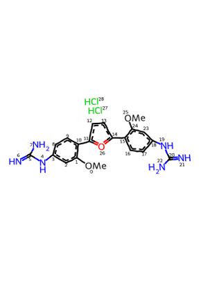 COc1cc(NC(=N)N)ccc1-c1ccc(-c2ccc(NC(=N)N)cc2OC)o1.Cl.Cl